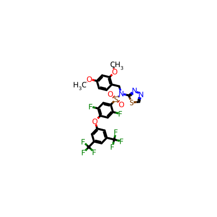 COc1ccc(CN(c2nncs2)S(=O)(=O)c2cc(F)c(Oc3cc(C(F)(F)F)cc(C(F)(F)F)c3)cc2F)c(OC)c1